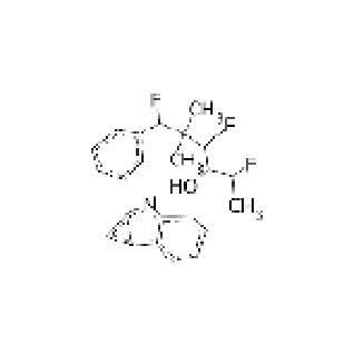 CC(F)C(O)C(F)C(C)(C)C(F)c1ccccc1.c1ccc2c3cc-3nc2c1